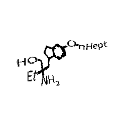 CCCCCCCOc1ccc2c(c1)CCC2CC(N)(CC)CO